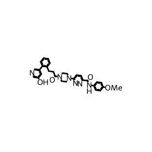 COc1ccc(NC(=O)c2ccc(N3CCN(C(=O)CCc4ccccc4-c4cncc(O)c4)CC3)nn2)cc1